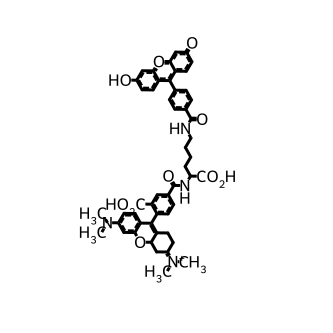 CN(C)c1ccc2c(c1)OC1CC(=[N+](C)C)CCC1=C2c1ccc(C(=O)NC(CCCCNC(=O)c2ccc(-c3c4ccc(=O)cc-4oc4cc(O)ccc34)cc2)C(=O)O)cc1C(=O)O